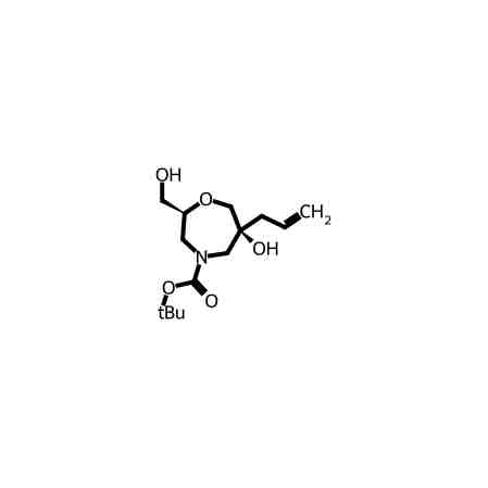 C=CC[C@@]1(O)CO[C@H](CO)CN(C(=O)OC(C)(C)C)C1